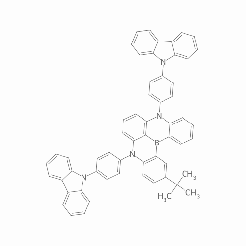 CC(C)(C)c1ccc2c(c1)B1c3ccccc3N(c3ccc(-n4c5ccccc5c5ccccc54)cc3)c3cccc(c31)N2c1ccc(-n2c3ccccc3c3ccccc32)cc1